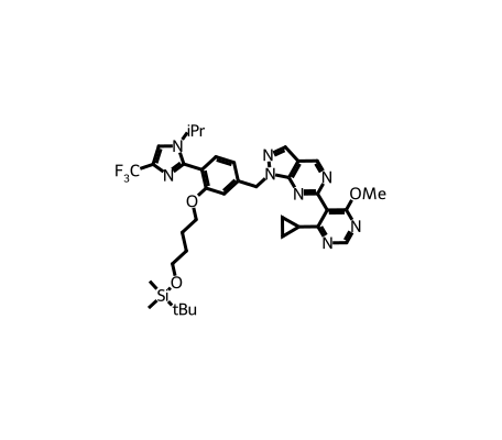 COc1ncnc(C2CC2)c1-c1ncc2cnn(Cc3ccc(-c4nc(C(F)(F)F)cn4C(C)C)c(OCCCCO[Si](C)(C)C(C)(C)C)c3)c2n1